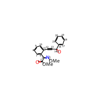 CON=C(C(=O)OC)c1ccccc1C#CC(=O)c1ccccc1